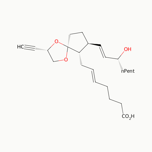 C#C[C@H]1CO[C@@]2(CC[C@@H](C=C[C@H](O)CCCCC)[C@@H]2CC=CCCCC(=O)O)O1